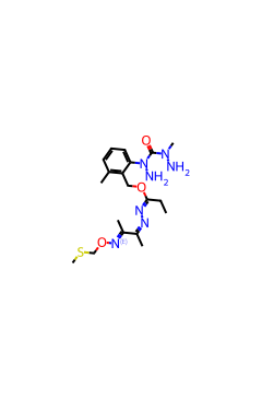 CCC(=NN=C(C)/C(C)=N/OCSC)OCc1c(C)cccc1N(N)C(=O)N(C)N